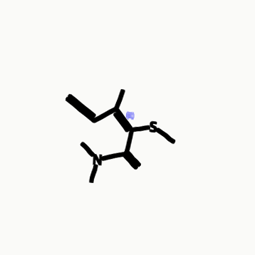 C=C/C(C)=C(/SC)C(=C)N(C)C